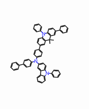 CC1(C)c2cc(-c3ccccc3)ccc2N(c2ccccc2)c2ccc(-c3ccc(N(c4ccc(-c5ccccc5)cc4)c4ccc5c(c4)c4ccccc4n5-c4ccccc4)cc3)cc21